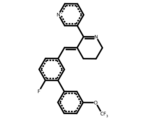 Fc1ccc(C=C2CCCN=C2c2cccnc2)cc1-c1cccc(OC(F)(F)F)c1